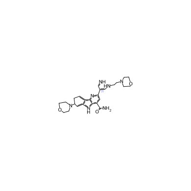 N=C/C(=C\NCCN1CCOCC1)c1cc(C(N)=O)c2[nH]c3c(c2n1)=CCC(N1CCOCC1)C=3